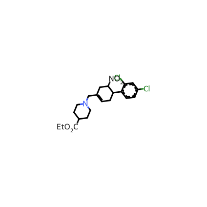 CCOC(=O)C1CCN(CC2=CCC(c3ccc(Cl)cc3Cl)C([N+](=O)[O-])C2)CC1